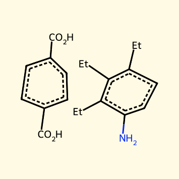 CCc1ccc(N)c(CC)c1CC.O=C(O)c1ccc(C(=O)O)cc1